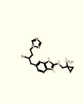 CCC(CCn1cncn1)Cc1ccc2nc(OCC3(C(=O)O)CC3)sc2c1